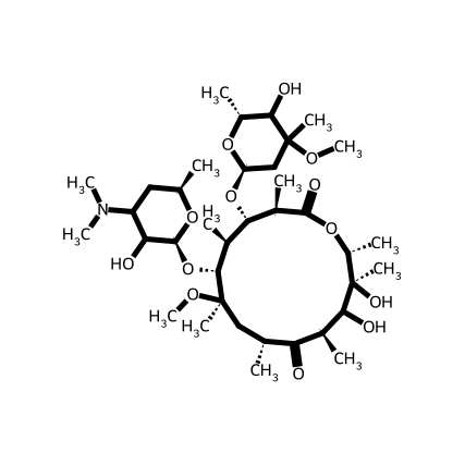 COC1(C)C[C@@H](O[C@H]2[C@H](C)[C@@H](O[C@@H]3O[C@H](C)CC(N(C)C)C3O)[C@](C)(OC)C[C@@H](C)C(=O)[C@H](C)C(O)[C@](C)(O)[C@@H](C)OC(=O)[C@@H]2C)O[C@H](C)C1O